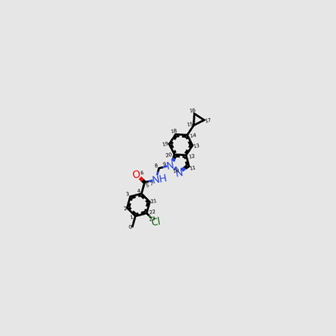 Cc1ccc(C(=O)NCn2ncc3cc(C4CC4)ccc32)cc1Cl